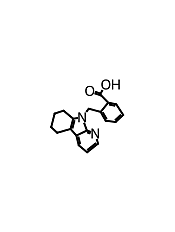 O=C(O)c1ccccc1Cn1c2c(c3cccnc31)CCCC2